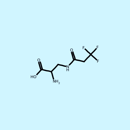 NC(CNC(=O)CC(F)(F)F)C(=O)O